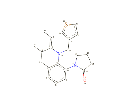 CC=C1C(C)Cc2cccc(N3CCCC3=O)c2N1Cc1ccsc1